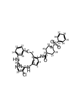 O=C(Nc1ccc2cc1CCc1cccc(c1)Nc1ncc(Cl)c(n1)N2)C1CCN(S(=O)(=O)c2ccccc2)CC1